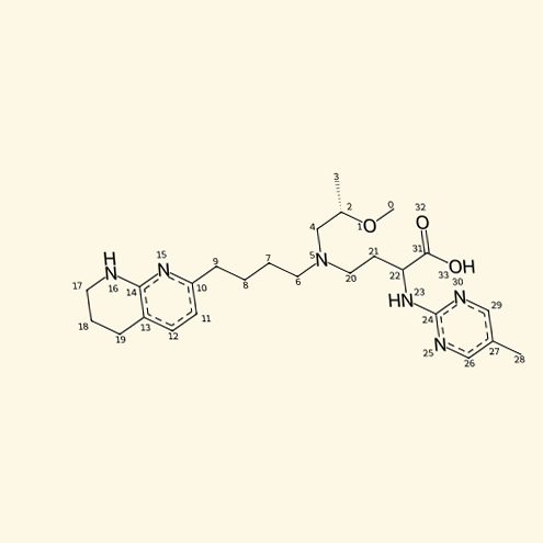 CO[C@@H](C)CN(CCCCc1ccc2c(n1)NCCC2)CCC(Nc1ncc(C)cn1)C(=O)O